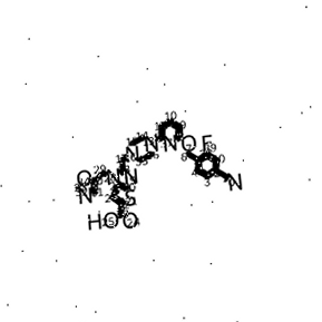 N#Cc1ccc(COc2cccc(N3CCN(Cc4nc5sc(C(=O)O)cc5n4Cc4cnco4)CC3)n2)c(F)c1